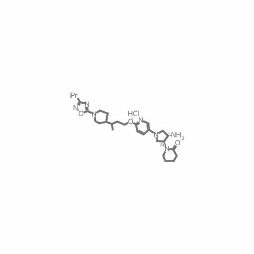 CC(C)c1noc(N2CCC(C(C)CCOc3ccc(N4C[C@H](N)[C@@H](N5CCCCC5=O)C4)cn3)CC2)n1.Cl